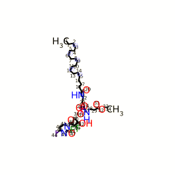 CC/C=C\C/C=C\C/C=C\C/C=C\C/C=C\CCCC(=O)NCCOP(=O)(NCCC(=O)OCC)OC[C@H]1O[C@@H](n2ccc(I)nc2=O)C(F)(F)[C@@H]1O